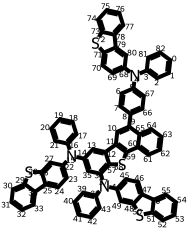 c1ccc(N(c2ccc(-c3cc4c5cc(N(c6ccccc6)c6ccc7c(c6)sc6ccccc67)cc(N(c6ccccc6)c6ccc7c(c6)sc6ccccc67)c5sc4c4ccccc34)cc2)c2ccc3sc4ccccc4c3c2)cc1